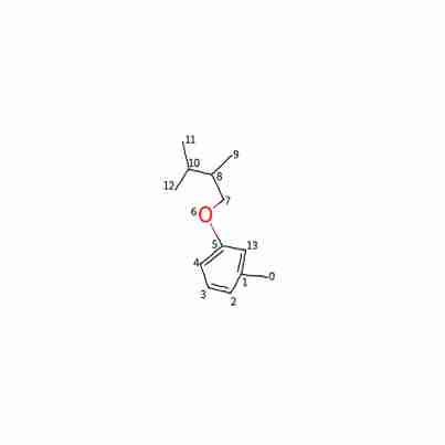 Cc1cccc(OCC(C)C(C)C)c1